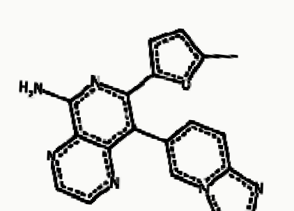 Cc1ccc(-c2nc(N)c3nccnc3c2-c2ccc3ncnn3c2)o1